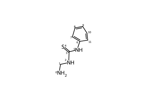 NCNC(=S)Nc1ccccc1